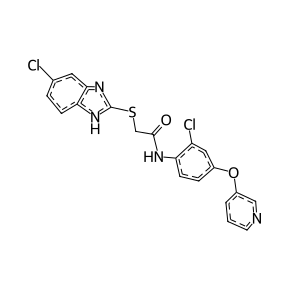 O=C(CSc1nc2cc(Cl)ccc2[nH]1)Nc1ccc(Oc2cccnc2)cc1Cl